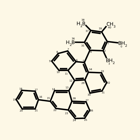 Bc1c(B)c(-c2c3ccccc3c(-c3cc(-c4ccccc4)cc4ccccc34)c3ccccc23)c(B)c(B)c1C